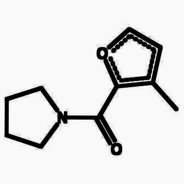 Cc1ccoc1C(=O)N1CCCC1